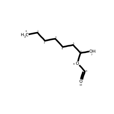 CCCCCCC(O)OC=O